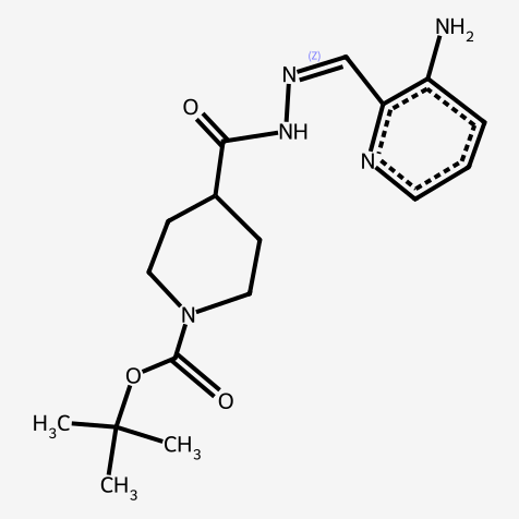 CC(C)(C)OC(=O)N1CCC(C(=O)N/N=C\c2ncccc2N)CC1